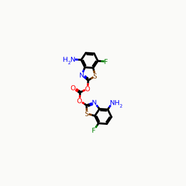 Nc1ccc(F)c2sc(OC(=O)Oc3nc4c(N)ccc(F)c4s3)nc12